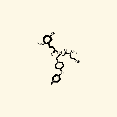 COc1ccc(C#N)cc1C=CC(=O)N[C@H](CC(=O)N(C)CCO)CN1CCC(Oc2ccc(F)cc2)CC1